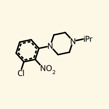 CC(C)N1CCN(c2cccc(Cl)c2[N+](=O)[O-])CC1